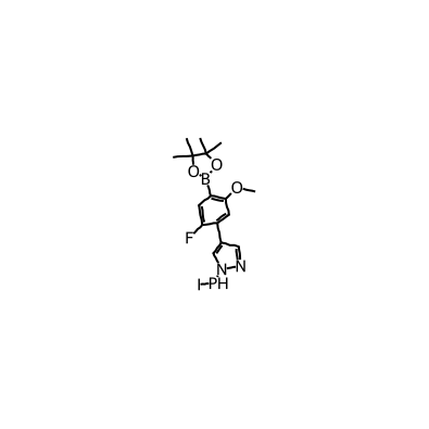 COc1cc(-c2cnn(PI)c2)c(F)cc1B1OC(C)(C)C(C)(C)O1